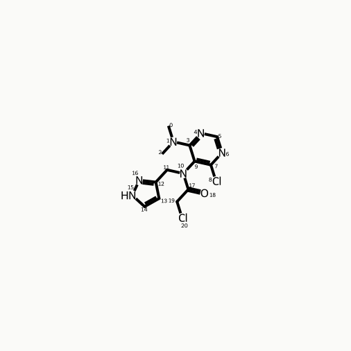 CN(C)c1ncnc(Cl)c1N(Cc1cc[nH]n1)C(=O)CCl